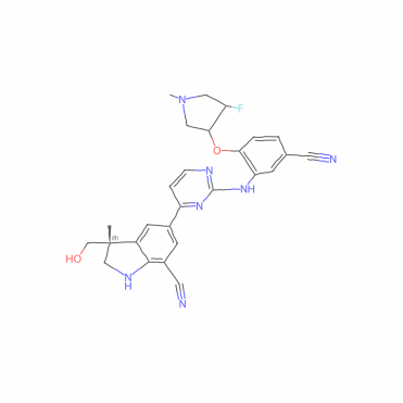 CN1CC(F)C(Oc2ccc(C#N)cc2Nc2nccc(-c3cc(C#N)c4c(c3)[C@@](C)(CO)CN4)n2)C1